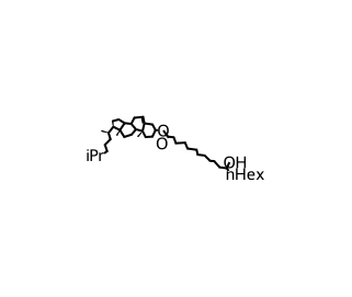 CCCCCCC(O)CCCCCCCCCCC(=O)OC1CC[C@@]2(C)C(=CCC3C2CC[C@@]2(C)C3CC[C@@H]2[C@H](C)CCCC(C)C)C1